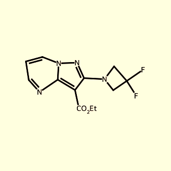 CCOC(=O)c1c(N2CC(F)(F)C2)nn2cccnc12